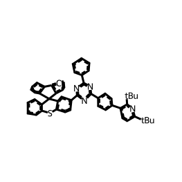 CC(C)(C)c1ccc(-c2ccc(-c3nc(-c4ccccc4)nc(-c4ccc5c(c4)C4(c6ccccc6S5)c5ccccc5-c5ccccc54)n3)cc2)c(C(C)(C)C)n1